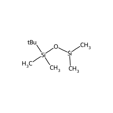 C[Si](C)O[Si](C)(C)C(C)(C)C